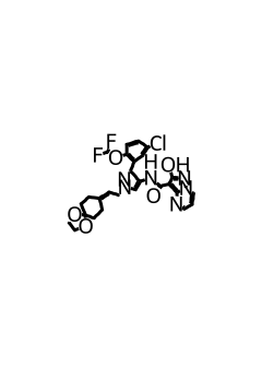 O=C(Nc1cn(CC=C2CCC3(CC2)OCCO3)nc1-c1cc(Cl)ccc1OC(F)F)c1c(O)nn2cccnc12